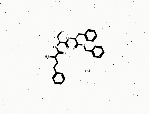 CC(C)C[C@H](NC(=O)C(N)CCc1ccccc1)C(=O)N[C@@H](Cc1ccccc1)C(=O)OCc1ccccc1.Cl